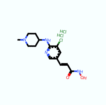 CN1CCC(Nc2ncc(/C=C/C(=O)NO)cc2Cl)CC1.Cl.Cl